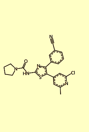 Cc1cc(-c2sc(NC(=O)N3CCCC3)nc2-c2cccc(C#N)c2)cc(Cl)n1